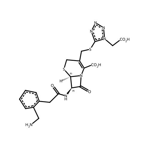 NCc1ccccc1CC(=O)N[C@@H]1C(=O)N2C(C(=O)O)=C(CSc3nnnn3CC(=O)O)CS[C@H]12